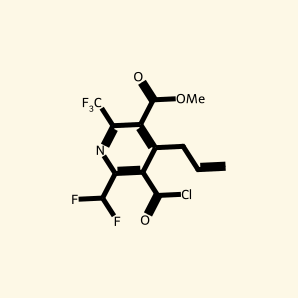 C=CCc1c(C(=O)Cl)c(C(F)F)nc(C(F)(F)F)c1C(=O)OC